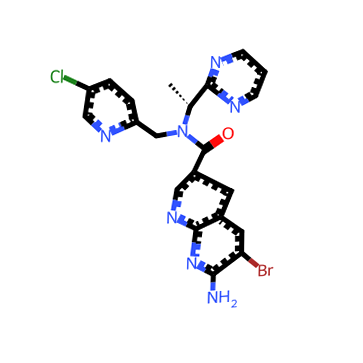 C[C@H](c1ncccn1)N(Cc1ccc(Cl)cn1)C(=O)c1cnc2nc(N)c(Br)cc2c1